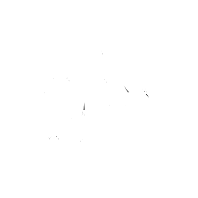 CN[C@@H](C)C(=O)N[C@H]1CN(C(=O)Cc2ccccc2)CC[C@H]2CC[C@@H](C(=O)N[C@@H]3CCCc4ccccc43)N2C1=O